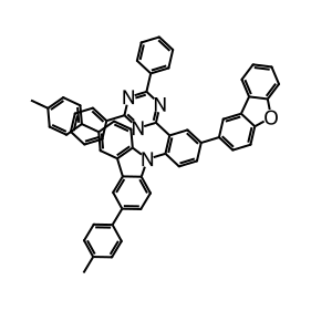 Cc1ccc(-c2ccc3c(c2)c2cc(-c4ccc(C)cc4)ccc2n3-c2ccc(-c3ccc4oc5ccccc5c4c3)cc2-c2nc(-c3ccccc3)nc(-c3ccccc3)n2)cc1